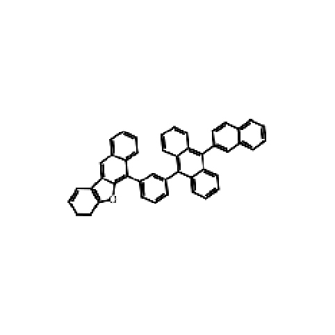 C1=Cc2c(oc3c(-c4cccc(-c5c6ccccc6c(-c6ccc7ccccc7c6)c6ccccc56)c4)c4ccccc4cc23)CC1